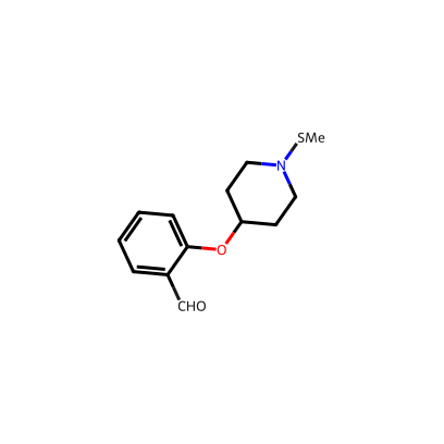 CSN1CCC(Oc2ccccc2C=O)CC1